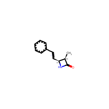 C[C@H]1C(=O)N[C@H]1/C=C/c1ccccc1